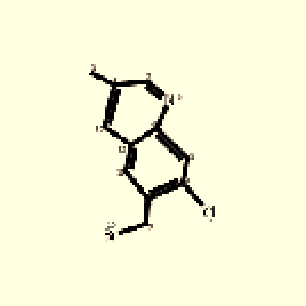 Cc1cnc2cc(Cl)c(CBr)cc2c1